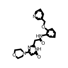 O=C(Cc1nc(N2CCOCC2)cc(=O)[nH]1)Nc1ccccc1OCc1cccnc1